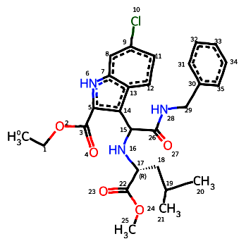 CCOC(=O)c1[nH]c2cc(Cl)ccc2c1C(N[C@H](CC(C)C)C(=O)OC)C(=O)NCc1ccccc1